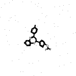 Cc1ccc(C2=Nc3ccccc3SC(c3ccc(OC(F)F)cc3)C2)cc1